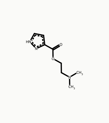 CN(C)CCOC(=O)c1cc[nH]n1